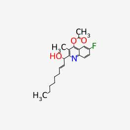 CCCCCCC=CC(O)c1nc2ccc(F)cc2c(OC(C)=O)c1C